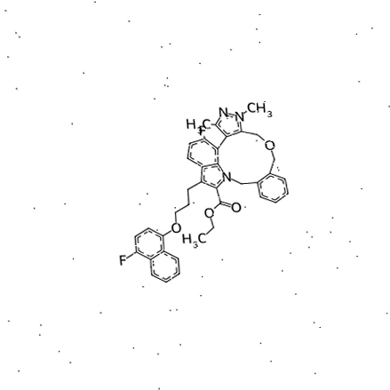 CCOC(=O)c1c(CCCOc2ccc(F)c3ccccc23)c2ccc(F)c3c2n1Cc1ccccc1COCc1c-3c(C)nn1C